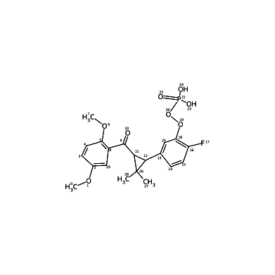 COc1ccc(OC)c(C(=O)C2C(c3ccc(F)c(OOP(=O)(O)O)c3)C2(C)C)c1